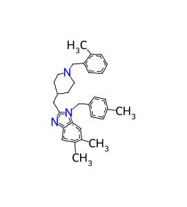 Cc1ccc(Cn2c(CC3CCN(Cc4ccccc4C)CC3)nc3cc(C)c(C)cc32)cc1